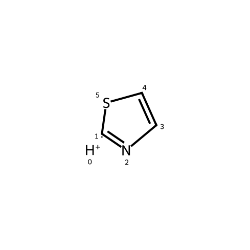 [H+].[c]1nccs1